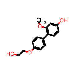 COc1cc(O)ccc1-c1ccc(OCCO)cc1